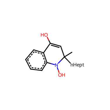 CCCCCCCC1(C)C=C(O)c2ccccc2N1O